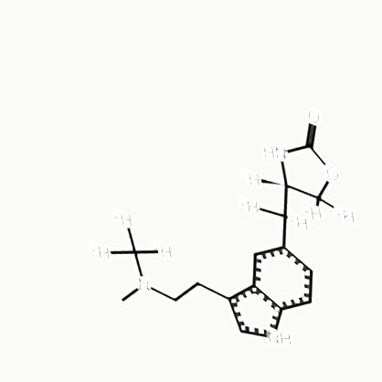 [2H]C([2H])([2H])N(C)CCc1c[nH]c2ccc(C([2H])([2H])[C@]3([2H])NC(=O)OC3([2H])[2H])cc12